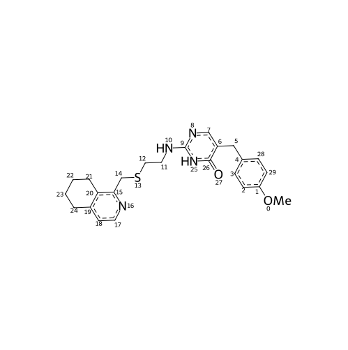 COc1ccc(Cc2cnc(NCCSCc3nccc4c3CCCC4)[nH]c2=O)cc1